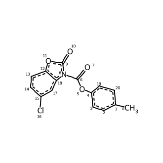 Cc1ccc(OC(=O)n2c(=O)oc3ccc(Cl)cc32)cc1